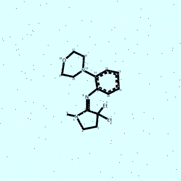 CCC1(CC)CCN(C)C1=Nc1ccccc1N1CCOCC1